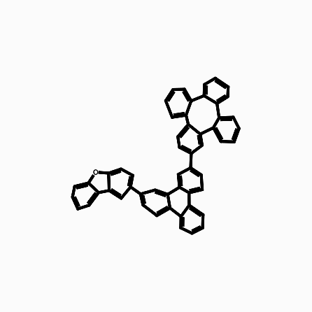 c1ccc2c(c1)-c1ccccc1-c1ccc(-c3ccc4c5ccccc5c5ccc(-c6ccc7oc8ccccc8c7c6)cc5c4c3)cc1-c1ccccc1-2